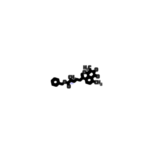 CC1=C2OC=C(CC/C=C(\C)C(=O)OCc3ccccc3)c3ccc(C)c(c32)C(=O)C1=O